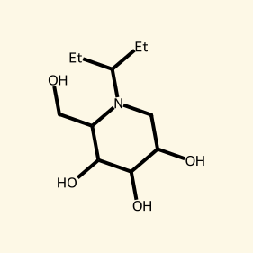 CCC(CC)N1CC(O)C(O)C(O)C1CO